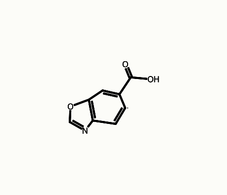 O=C(O)c1[c]cc2ncoc2c1